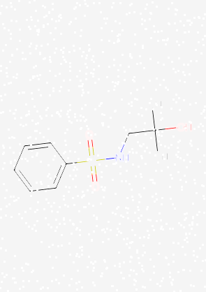 CC(C)(O)CNS(=O)(=O)c1ccccc1